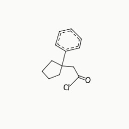 O=C(Cl)CC1(c2ccccc2)CCCC1